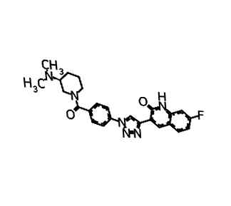 CN(C)[C@H]1CCCN(C(=O)c2ccc(-n3cc(-c4cc5ccc(F)cc5[nH]c4=O)nn3)cc2)C1